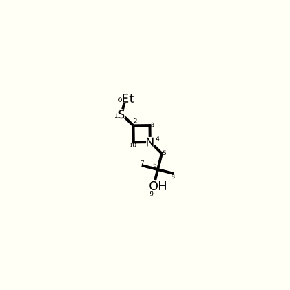 CCSC1CN(CC(C)(C)O)C1